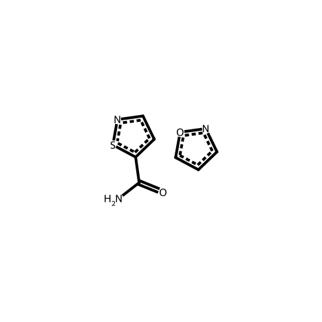 NC(=O)c1ccns1.c1cnoc1